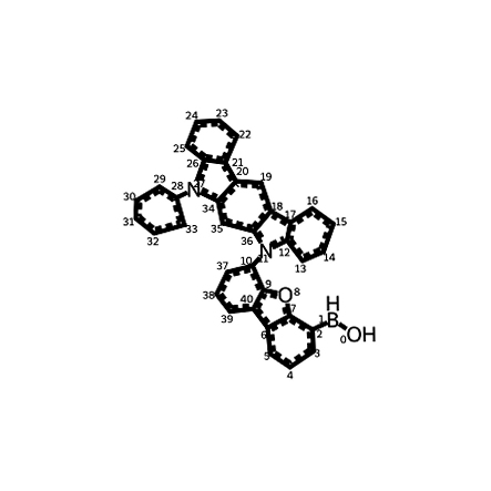 OBc1cccc2c1oc1c(-n3c4ccccc4c4cc5c6ccccc6n(-c6ccccc6)c5cc43)cccc12